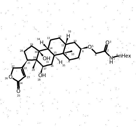 CCCCCCNC(=O)CO[C@H]1CC[C@@]2(C)[C@H](CC[C@@H]3[C@@H]2C[C@@H](O)[C@]2(C)[C@@H](C4=CC(=O)OC4)CC[C@]32O)C1